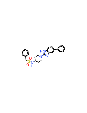 O=S(=O)(Cc1ccccc1)NC1CCN(c2nc3cc(-c4ccccc4)ccc3[nH]2)CC1